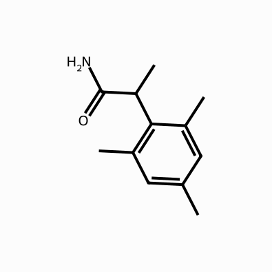 Cc1cc(C)c(C(C)C(N)=O)c(C)c1